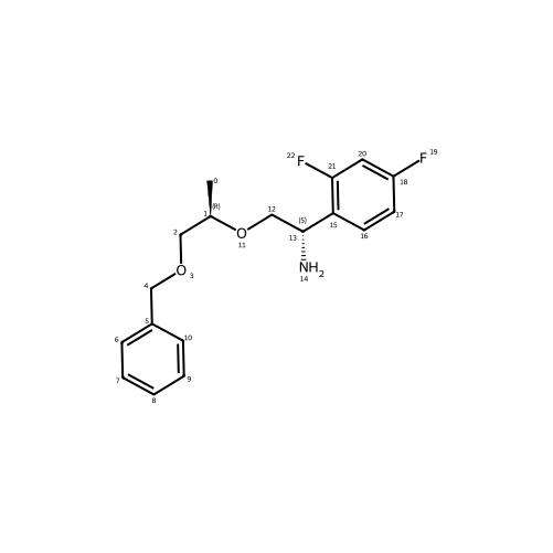 C[C@H](COCc1ccccc1)OC[C@@H](N)c1ccc(F)cc1F